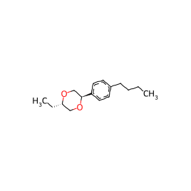 CCCCc1ccc([C@@H]2CO[C@@H](CC)CO2)cc1